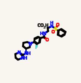 O=C(NC[C@H](NS(=O)(=O)c1ccccc1)C(=O)O)c1ccc(N2CCC[C@H](NC3=NCCCN3)C2)c(F)c1